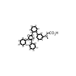 CN(CC(=O)O)c1cccc(-c2ccccc2-c2nc(-c3ccccc3)c(-c3ccccc3)o2)c1